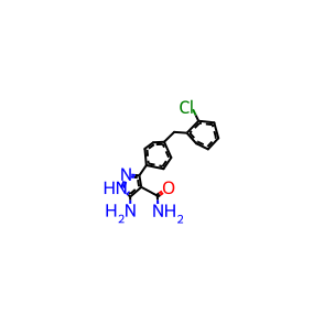 NC(=O)c1c(-c2ccc(Cc3ccccc3Cl)cc2)n[nH]c1N